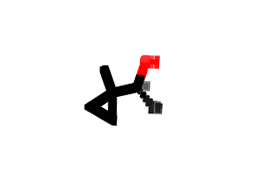 CC[C@@H](O)C1(C)CC1